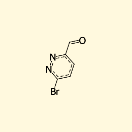 O=Cc1ccc(Br)nn1